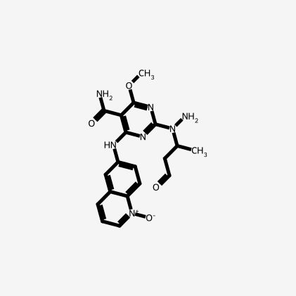 COc1nc(N(N)C(C)CC=O)nc(Nc2ccc3c(ccc[n+]3[O-])c2)c1C(N)=O